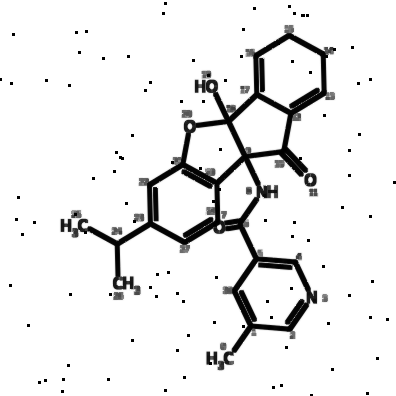 Cc1cncc(C(=O)NC23C(=O)C4=CCCC=C4C2(O)Oc2cc(C(C)C)ccc23)c1